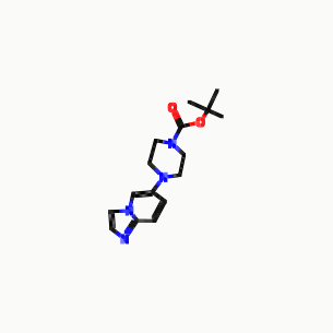 CC(C)(C)OC(=O)N1CCN(c2ccc3nccn3c2)CC1